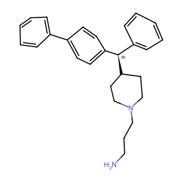 NCCCN1CCC([C@H](c2ccccc2)c2ccc(-c3ccccc3)cc2)CC1